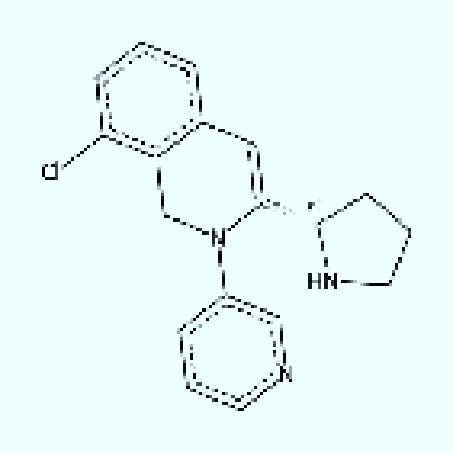 Clc1cccc2c1CN(c1cccnc1)C([C@@H]1CCCN1)=C2